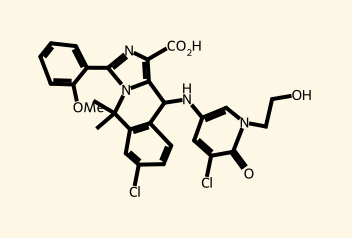 COc1ccccc1-c1nc(C(=O)O)c2n1C(C)(C)c1cc(Cl)ccc1C2Nc1cc(Cl)c(=O)n(CCO)c1